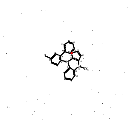 Cc1ccc(N2c3ccccc3[S+]([O-])c3ccoc32)c(-c2ccccc2)c1